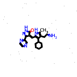 Cc1[nH]c(C=C2C(=O)NN=C2c2cnccn2)c(C2CCCCC2)c1CCN